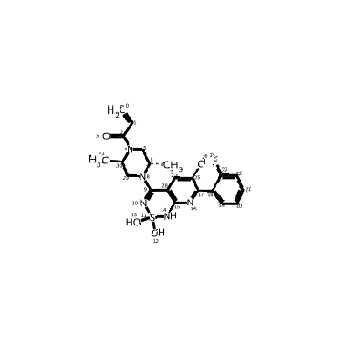 C=CC(=O)N1C[C@H](C)N(C2=NS(O)(O)Nc3nc(-c4ccccc4F)c(Cl)cc32)C[C@H]1C